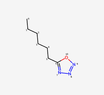 CCCCCCc1nnno1